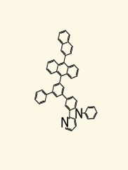 c1ccc(-c2cc(-c3ccc4c(c3)c3ncccc3n4-c3ccccc3)cc(-c3c4ccccc4c(-c4ccc5ccccc5c4)c4ccccc34)c2)cc1